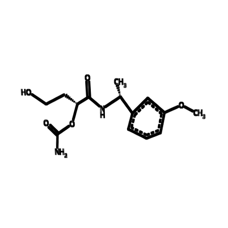 COc1cccc([C@@H](C)NC(=O)[C@@H](CCO)OC(N)=O)c1